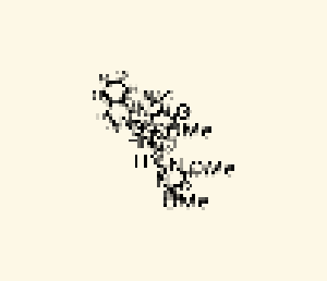 COC(=O)c1c(C)nn(-c2nccc3ccccc23)c1S(=O)(=O)NC(=O)Nc1nc(OC)cc(OC)n1